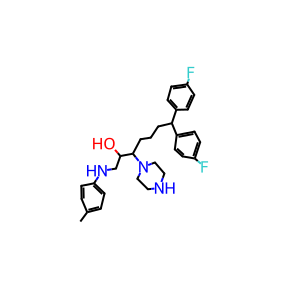 Cc1ccc(NCC(O)C(CCCC(c2ccc(F)cc2)c2ccc(F)cc2)N2CCNCC2)cc1